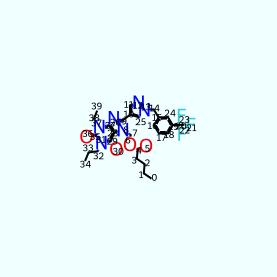 CCCCC(=O)OCn1c(-c2cnn(Cc3cccc(C(F)(F)F)c3)c2)nc2c1c(=O)n(CCC)c(=O)n2CC